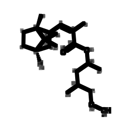 CC(=CC1C[C@H]2CC[C@@]1(C)C2(C)C)C(=O)OC(C)CC(C)COO